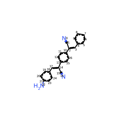 N#CC(=Cc1ccccc1)c1ccc(C(C#N)=Cc2ccc(N)cc2)cc1